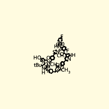 Cc1ncsc1-c1ccc(C(C)NC(=O)[C@@H]2C[C@@H](O)CN2C(=O)C(NC(=O)CN2CCC(CN3C[C@@H](C)N(c4ccc(-c5cnc6[nH]cc(C(=O)c7c(F)ccc(NS(=O)(=O)N8CC[C@@H](F)C8)c7F)c6c5)cc4)[C@@H](C)C3)CC2)C(C)(C)C)cc1